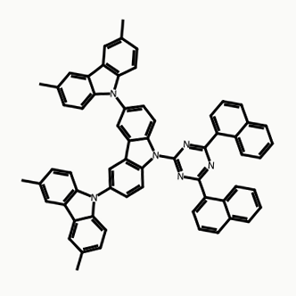 Cc1ccc2c(c1)c1cc(C)ccc1n2-c1ccc2c(c1)c1cc(-n3c4ccc(C)cc4c4cc(C)ccc43)ccc1n2-c1nc(-c2cccc3ccccc23)nc(-c2cccc3ccccc23)n1